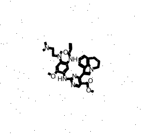 C=CC(=O)Nc1cc(Nc2ncc(C(=O)OC)c(-c3cn4c5c(cccc35)CCC4)n2)c(OC)cc1N(C)CCN(C)C